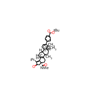 CNC(=O)[C@@]12CC[C@]3(C)[C@H](CC[C@@H]4[C@@]5(C)CC=C(c6ccc(C(=O)OC(C)(C)C)cc6)C(C)(C)[C@@H]5CC[C@]43C)C1=C(C(C)C)C(=O)C2